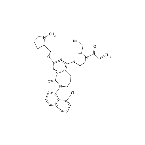 C=CC(=O)N1CCN(c2nc(OCC3CCCN3C)nc3c2CCCN(c2cccc4cccc(Cl)c24)C3=O)CC1CC#N